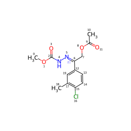 COC(=O)N/N=C(/COC(C)=O)c1ccc(Cl)c(C)c1